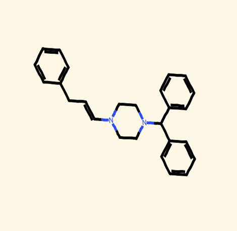 C(=C\N1CCN(C(c2ccccc2)c2ccccc2)CC1)/Cc1ccccc1